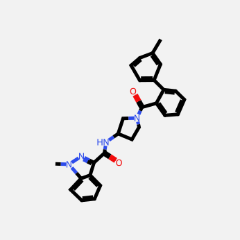 Cc1cccc(-c2ccccc2C(=O)N2CCC(NC(=O)c3nn(C)c4ccccc34)C2)c1